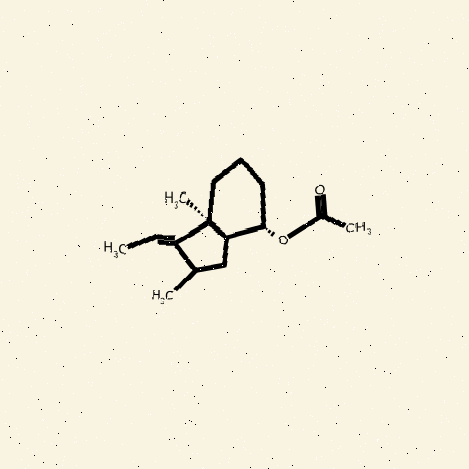 C/C=C1\C(C)CC2[C@@H](OC(C)=O)CCC[C@]12C